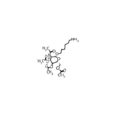 CC(=O)N[C@H]1[C@H](OCCCCCCN)O[C@H](COC(C)=O)[C@@H](OC(C)=O)[C@@H]1OC(C)=O